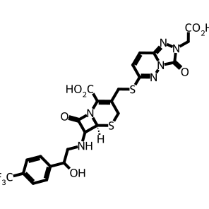 O=C(O)Cn1nc2ccc(SCC3=C(C(=O)O)N4C(=O)C(NCC(O)c5ccc(C(F)(F)F)cc5)[C@@H]4SC3)nn2c1=O